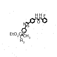 CCOC(=O)C(C)(C)N1CCC(c2ncc(-c3ccc(NC(=O)Nc4ccccc4F)cc3)s2)CC1